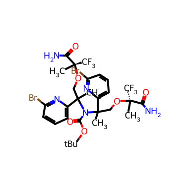 CC(C)(C)OC(=O)N(C(C)(CO[C@](C)(C(N)=O)C(F)(F)F)c1cccc(Br)n1)C(C)(CO[C@](C)(C(N)=O)C(F)(F)F)c1cccc(Br)n1